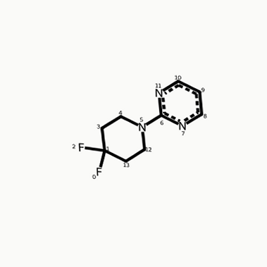 FC1(F)CCN(c2ncccn2)CC1